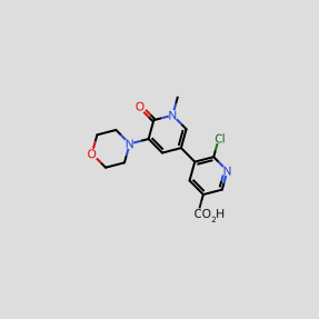 Cn1cc(-c2cc(C(=O)O)cnc2Cl)cc(N2CCOCC2)c1=O